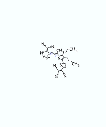 CCCCc1c(/C(C)=C/C=C(\C)C(C#N)=C(C#N)C#N)sc(-c2ccc(C(C#N)=C(C#N)C#N)s2)c1CCCC